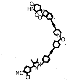 Cc1c(-c2ccc(C#N)c(Cl)c2)nn(Cc2ccc(C#CC3CCC(C(=O)N4CCC(C#Cc5ccc6c(c5)C(=O)N(C5CCC(=O)NC5=O)C6)CC4)CC3)cc2)c1C